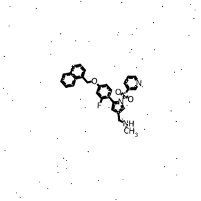 CNCc1cc(-c2ccc(OCc3cccc4ccccc34)cc2F)n(S(=O)(=O)c2cccnc2)c1